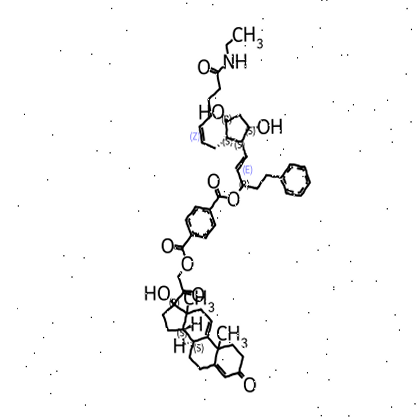 CCNC(=O)CCC/C=C\C[C@H]1[C@H](/C=C/[C@@H](CCc2ccccc2)OC(=O)c2ccc(C(=O)OCC(=O)[C@@]3(O)CC[C@H]4[C@@H]5CCC6=CC(=O)CCC6(C)C5=CCC43C)cc2)[C@@H](O)C[C@H]1O